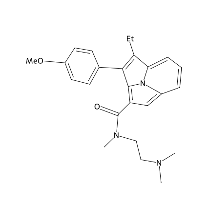 CCc1c(-c2ccc(OC)cc2)c2c(C(=O)N(C)CCN(C)C)cc3cccc1n32